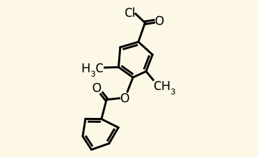 Cc1cc(C(=O)Cl)cc(C)c1OC(=O)c1ccccc1